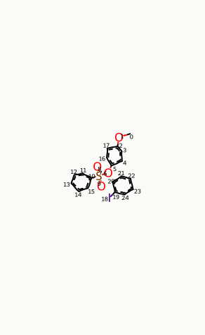 COc1ccc(OS(=O)(=O)c2ccccc2)cc1.Ic1ccccc1